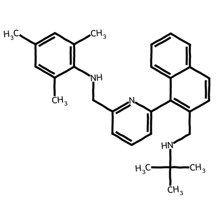 Cc1cc(C)c(NCc2cccc(-c3c(CNC(C)(C)C)ccc4ccccc34)n2)c(C)c1